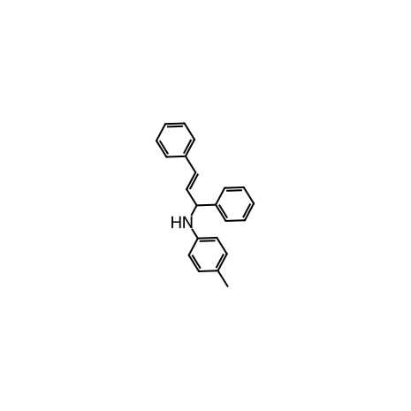 Cc1ccc(NC(C=Cc2ccccc2)c2ccccc2)cc1